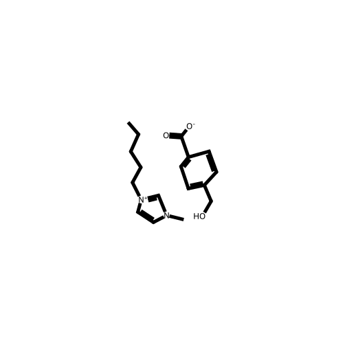 CCCCC[n+]1ccn(C)c1.O=C([O-])c1ccc(CO)cc1